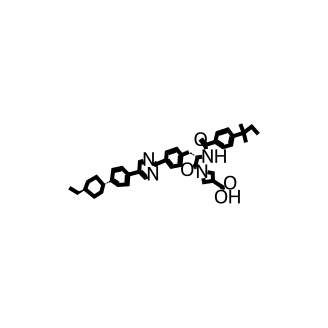 CCC(C)(C)c1ccc(C(=O)N[C@@H](Cc2ccc(-c3ncc(-c4ccc([C@H]5CC[C@H](CC)CC5)cc4)cn3)cc2)C(=O)N2CC(C(=O)O)C2)cc1